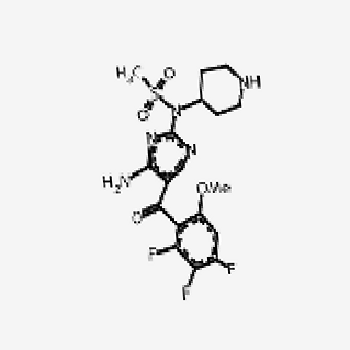 COc1cc(F)c(F)c(F)c1C(=O)c1cnc(N(C2CCNCC2)S(C)(=O)=O)nc1N